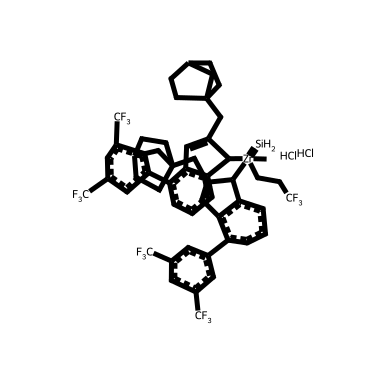 Cl.Cl.[CH3][Zr](=[SiH2])([CH2]CC(F)(F)F)([CH]1C(CC23CCC(CC2)C3)=Cc2c(-c3cc(C(F)(F)F)cc(C(F)(F)F)c3)cccc21)[CH]1C(CC23CCC(CC2)C3)=Cc2c(-c3cc(C(F)(F)F)cc(C(F)(F)F)c3)cccc21